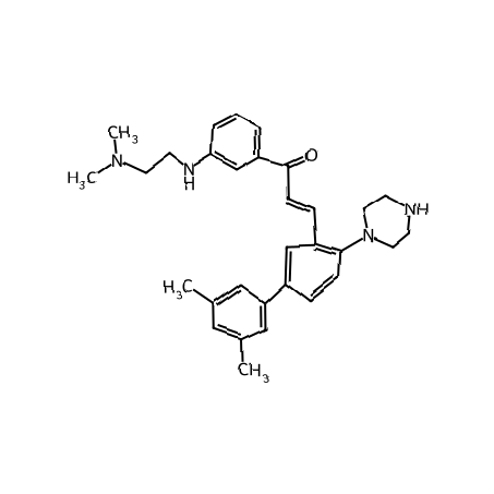 Cc1cc(C)cc(-c2ccc(N3CCNCC3)c(C=CC(=O)c3cccc(NCCN(C)C)c3)c2)c1